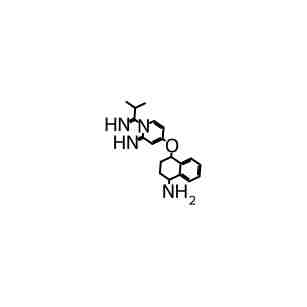 CC(C)C(=N)n1ccc(OC2CCC(N)c3ccccc32)cc1=N